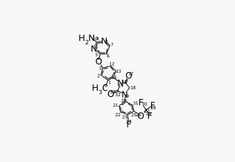 Cc1cc(Oc2ccnc(N)n2)ccc1N1C(=O)CN(c2ccc(F)c(OC(F)(F)F)c2)C1=O